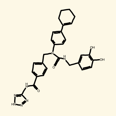 O=C(Nc1nn[nH]n1)c1ccc(CN(C(=O)NCc2ccc(O)c(O)c2)c2ccc(C3=CCCCC3)cc2)cc1